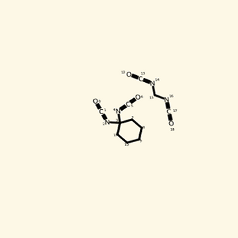 O=C=NC1(N=C=O)CCCCC1.O=C=NCN=C=O